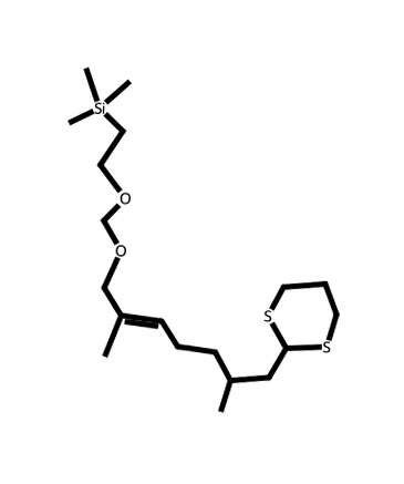 C/C(=C\CCC(C)CC1SCCCS1)COCOCC[Si](C)(C)C